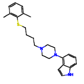 Cc1cccc(C)c1SCCCCN1CCN(c2cccc3[nH]ccc23)CC1